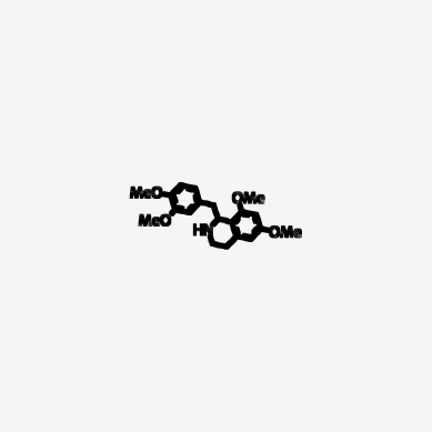 COc1cc2c(c(OC)c1)C(Cc1ccc(OC)c(OC)c1)NCC2